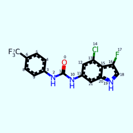 O=C(Nc1ccc(C(F)(F)F)cc1)Nc1cc(Cl)c2c(F)c[nH]c2c1